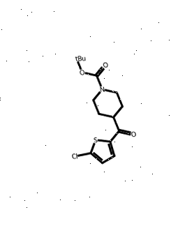 CC(C)(C)OC(=O)N1CCC(C(=O)c2ccc(Cl)s2)CC1